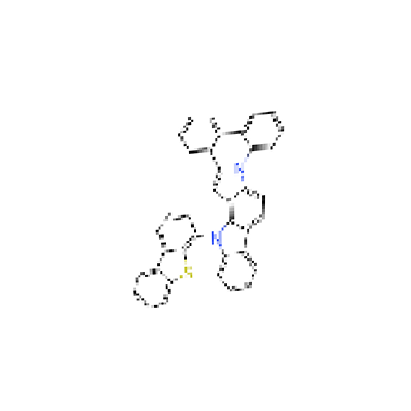 c1ccc2c(c1)sc1c(-n3c4ccccc4c4ccc5c(cc6c7ccccc7c7ccccc7n65)c43)cccc12